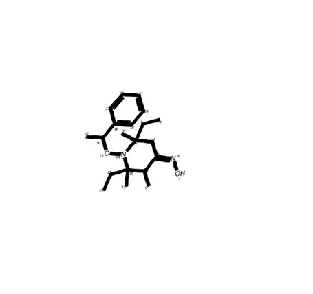 CCC1(C)C/C(=N/O)C(C)C(C)(CC)N1OC(C)c1ccccc1